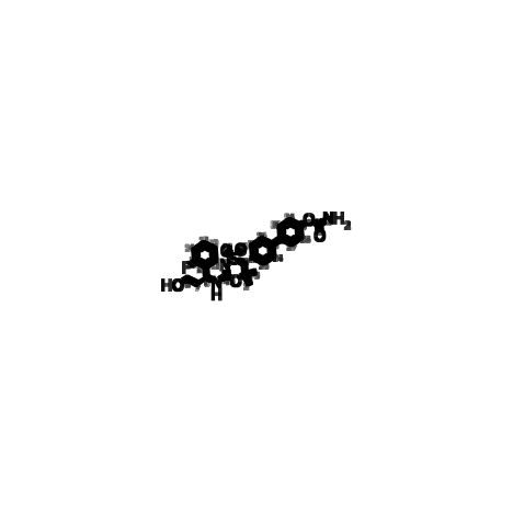 CC1(C)OC(N[C@@H](CCO)c2ccccc2F)=NS(=O)(=O)[C@@H]1c1ccc(-c2ccc(OC(N)=O)cc2)cc1